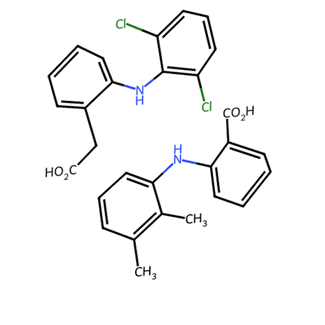 Cc1cccc(Nc2ccccc2C(=O)O)c1C.O=C(O)Cc1ccccc1Nc1c(Cl)cccc1Cl